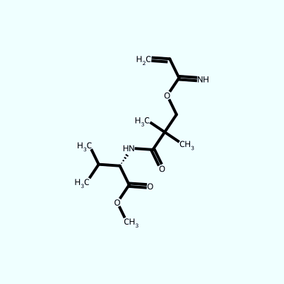 C=CC(=N)OCC(C)(C)C(=O)N[C@H](C(=O)OC)C(C)C